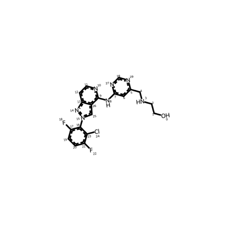 OCCNCc1cc(Nc2nccc3nn(-c4c(F)ccc(F)c4Cl)cc23)ncn1